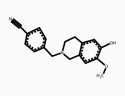 COc1cc2c(cc1O)CCN(Cc1ccc(C#N)cc1)C2